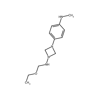 CCOCNN1CN(c2ccc(NC)cc2)C1